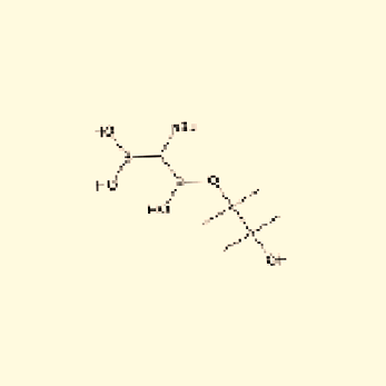 CCCCC(B(O)O)B(O)OC(C)(C)C(C)(C)O